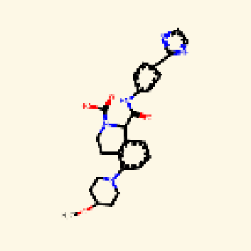 COC1CCN(c2cccc3c2CCN(C(=O)O)C3C(=O)Nc2ccc(-c3ncc[nH]3)cc2)CC1